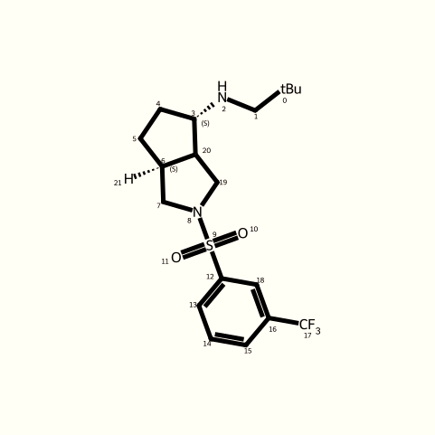 CC(C)(C)CN[C@H]1CC[C@@H]2CN(S(=O)(=O)c3cccc(C(F)(F)F)c3)CC21